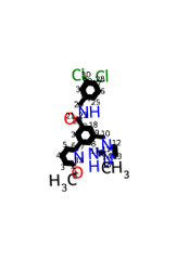 COc1cccc(-c2cc(Cn3ccn(C)c3=N)cc(C(=O)NCc3ccc(Cl)c(Cl)c3)c2)n1